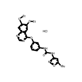 CCOc1cc2ncnc(Oc3cccc(NC(=O)Nc4cc(C(C)(C)C)on4)c3)c2cc1OCC.Cl